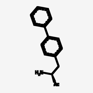 CC(=O)[C@@H](N)Cc1ccc(-c2ccccc2)cc1